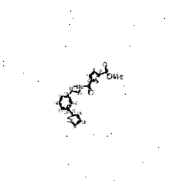 COC(=O)c1ccc(C(=O)NCCc2cccc(-c3cccs3)c2)s1